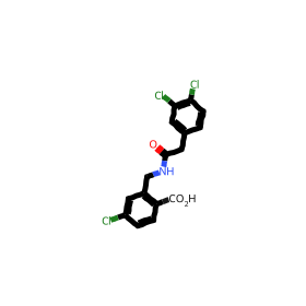 O=C(Cc1ccc(Cl)c(Cl)c1)NCc1cc(Cl)ccc1C(=O)O